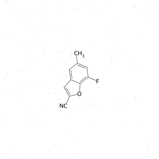 Cc1cc(F)c2oc(C#N)cc2c1